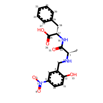 C[C@H](NCc1cc([N+](=O)[O-])ccc1O)C(=O)N[C@@H](Cc1ccccc1)C(=O)O